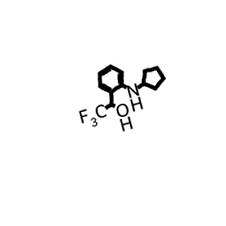 OC(c1ccccc1NC1CCCC1)C(F)(F)F